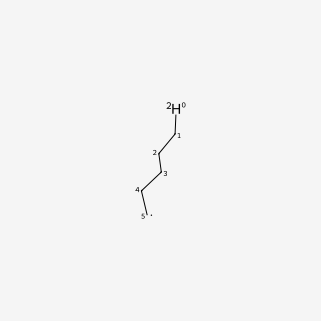 [2H]CCCC[CH2]